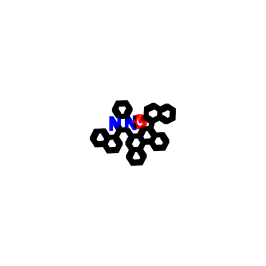 c1ccc2c(-c3nc4ccccc4nc3-c3cc4ccccc4c4c5ccccc5c5c(oc6ccc7ccccc7c65)c34)cccc2c1